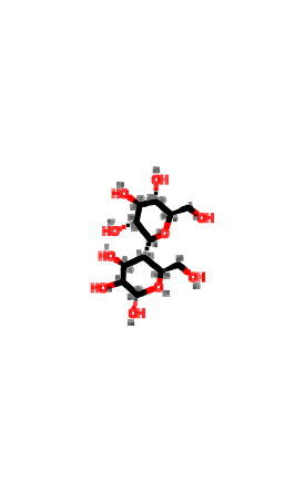 OC[C@H]1OC([C@H]2[C@H](O)C(O)[C@@H](O)O[C@@H]2CO)[C@H](O)[C@@H](O)[C@@H]1O